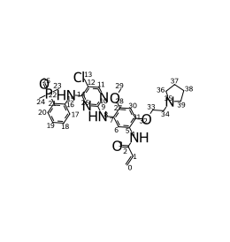 C=CC(=O)Nc1cc(Nc2ncc(Cl)c(Nc3ccccc3P(C)(C)=O)n2)c(OC)cc1OCCN1CCCC1